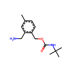 Cc1ccc(COC(=O)NC(C)(C)C)c(CN)c1